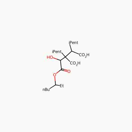 CCCCC(CC)OC(=O)C(O)C(C(=O)O)(C(C)CCC)C(C(=O)O)C(C)CCC